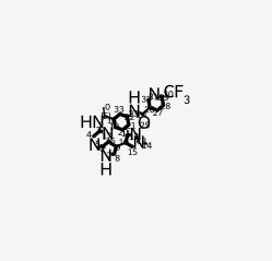 C[C@H](Nc1cnc2[nH]cc(-c3cnn(C)c3)c2n1)c1cccc(NC(=O)c2ccc(C(F)(F)F)nc2)c1